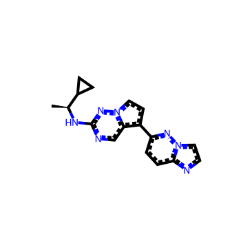 C[C@H](Nc1ncc2c(-c3ccc4nccn4n3)ccn2n1)C1CC1